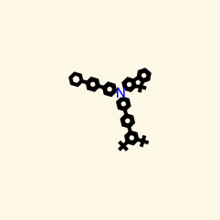 CC(C)(C)c1cc(-c2ccc(-c3ccc(N(c4ccc(-c5ccc(C6CCCCC6)cc5)cc4)c4ccc5c(c4)C(C)(C)c4ccccc4-5)cc3)cc2)cc(C(C)(C)C)c1